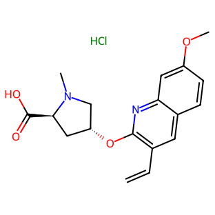 C=Cc1cc2ccc(OC)cc2nc1O[C@@H]1C[C@@H](C(=O)O)N(C)C1.Cl